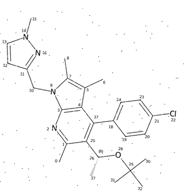 Cc1nc2c(c(C)c(C)n2Cc2ccn(C)n2)c(-c2ccc(Cl)cc2)c1[C@@H](C)OC(C)(C)C